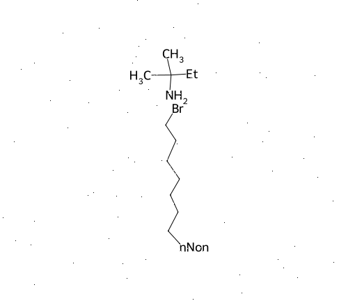 CCC(C)(C)N.CCCCCCCCCCCCCCCCBr